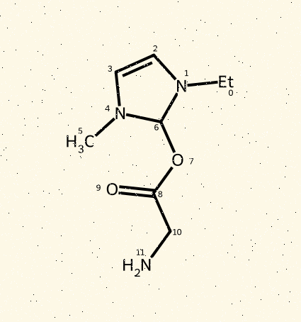 CCN1C=CN(C)C1OC(=O)CN